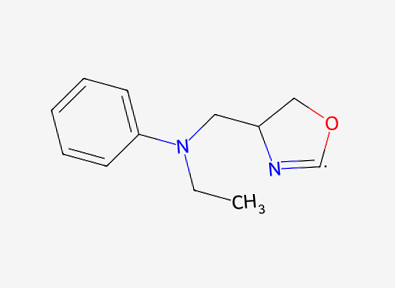 CCN(CC1CO[C]=N1)c1ccccc1